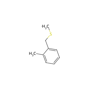 [CH2]SCc1ccccc1C